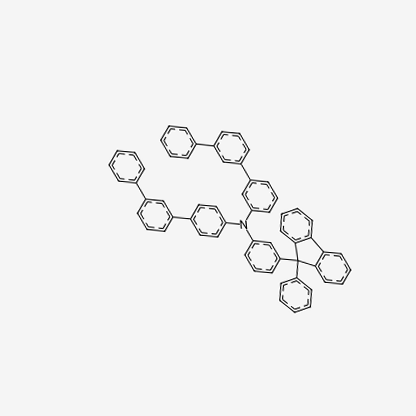 c1ccc(-c2cccc(-c3ccc(N(c4cccc(-c5cccc(-c6ccccc6)c5)c4)c4cccc(C5(c6ccccc6)c6ccccc6-c6ccccc65)c4)cc3)c2)cc1